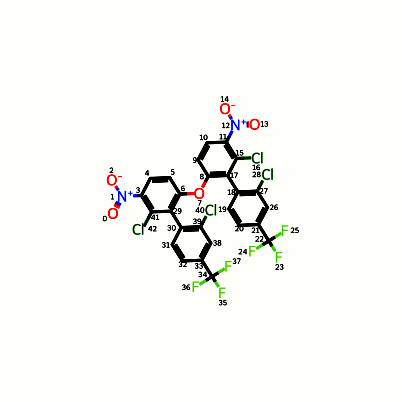 O=[N+]([O-])c1ccc(Oc2ccc([N+](=O)[O-])c(Cl)c2-c2ccc(C(F)(F)F)cc2Cl)c(-c2ccc(C(F)(F)F)cc2Cl)c1Cl